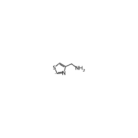 NCc1cs[c]n1